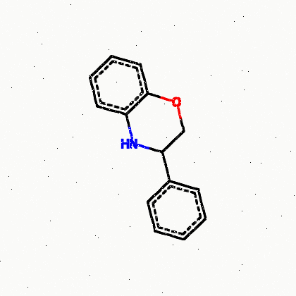 c1ccc(C2COc3ccccc3N2)cc1